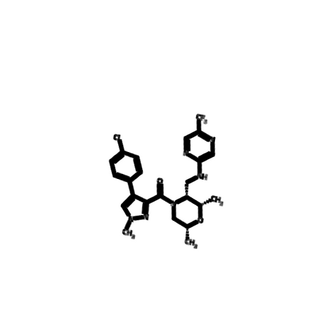 C[C@@H]1CN(C(=O)c2nn(C)cc2-c2ccc(Cl)cc2)[C@H](CNc2cnc(C(F)(F)F)cn2)[C@H](C)O1